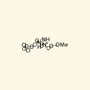 COCCCOc1cccc(CN(C(=O)C2CNCCC2NC(=O)c2ccc(OCCOc3c(Cl)cccc3Cl)cc2)C2CC2)c1